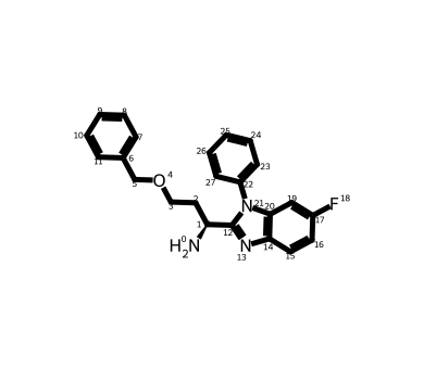 N[C@@H](CCOCc1ccccc1)c1nc2ccc(F)cc2n1-c1ccccc1